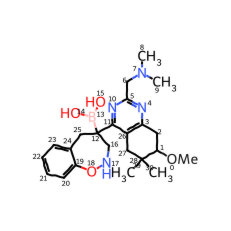 COC1Cc2nc(CN(C)C)nc(C3(B(O)O)CNOc4ccccc4C3)c2CC1(C)C